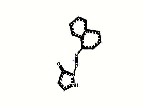 O=c1cc[nH]n1/N=N/c1cccc2ccccc12